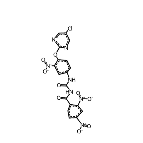 O=C(NC(=O)c1ccc([N+](=O)[O-])cc1[N+](=O)[O-])Nc1ccc(Oc2ncc(Cl)cn2)c([N+](=O)[O-])c1